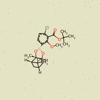 COc1c(B2O[C@@H]3C[C@@H]4C[C@@H](C4(C)C)[C@]3(C)O2)ccc(Cl)c1C(=O)OC(C)(C)C